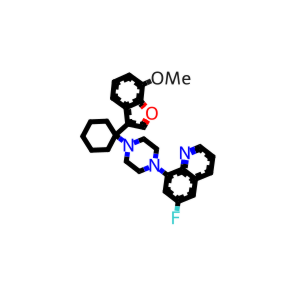 COc1cccc2c(C3(N4CCN(c5cc(F)cc6cccnc56)CC4)CCCCC3)coc12